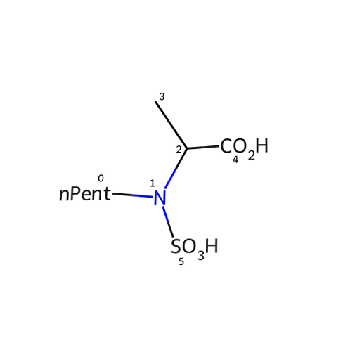 CCCCCN(C(C)C(=O)O)S(=O)(=O)O